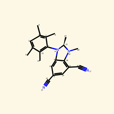 Cc1cc(C)c(C)c(N2c3cc(C#N)cc(C#N)c3N(C)[C@@H]2C)c1C